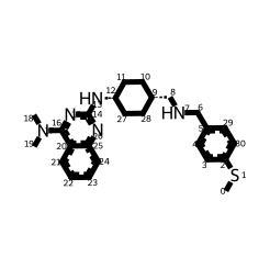 CSc1ccc(CNC[C@H]2CC[C@@H](Nc3nc(N(C)C)c4ccccc4n3)CC2)cc1